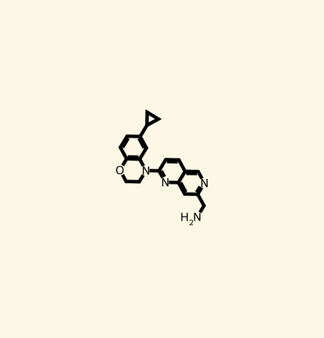 NCc1cc2nc(N3CCOc4ccc(C5CC5)cc43)ccc2cn1